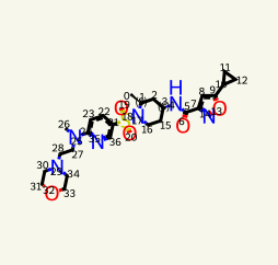 C[C@H]1C[C@@H](NC(=O)c2cc(C3CC3)on2)CCN1S(=O)(=O)c1ccc(N(C)CCN2CCOCC2)nc1